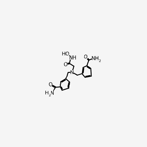 NC(=O)c1cccc(CN(CC(=O)NO)Cc2cccc(C(N)=O)c2)c1